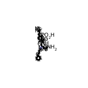 Nc1nc(/C(=N\OCCOc2ccccc2)C(=O)NC2C(=O)N3C(C(=O)O)=C(CSc4nncs4)CS[C@H]23)ns1